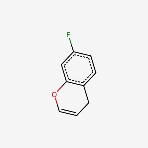 Fc1ccc2c(c1)OC=CC2